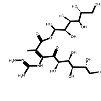 CC(C(=O)OC(O)[C@H](O)[C@@H](O)[C@H](O)[C@H](O)CO)=C(NC(N)=NN)C(=O)[C@H](O)[C@@H](O)[C@H](O)[C@H](O)CO